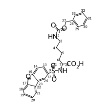 O=C(NCCCCC(NS(=O)(=O)c1ccc2oc3ccccc3c2c1)C(=O)O)OCc1ccccc1